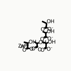 CC(O)C(=O)[O-].CC(O)C(=O)[O-].CC(O)C(=O)[O-].CC(O)C(=O)[O-].CC(O)C(=O)[O-].[Al+3].[Zn+2]